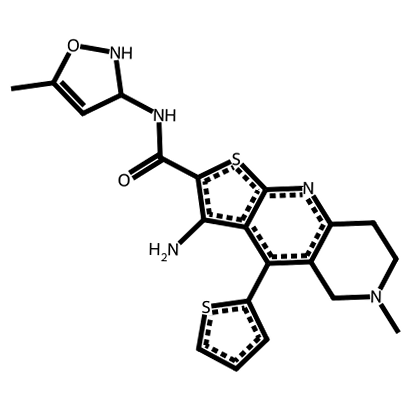 CC1=CC(NC(=O)c2sc3nc4c(c(-c5cccs5)c3c2N)CN(C)CC4)NO1